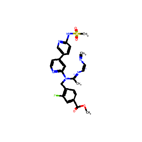 C=N/C=C\N=C(/C)N(Cc1ccc(C(=O)OC)cc1F)c1cc(-c2ccc(NS(C)(=O)=O)nc2)ccn1